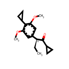 CC[C@H](C(=O)C1CC1)c1cc(OC)c(C2CC2)c(OC)c1